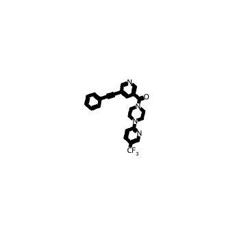 O=C(c1cncc(C#Cc2ccccc2)c1)N1CCN(c2ccc(C(F)(F)F)cn2)CC1